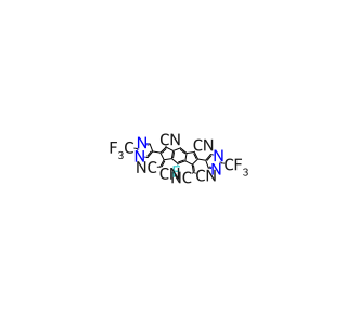 N#CC(C#N)=C1C(c2cnc(C(F)(F)F)nc2)=C(C#N)c2cc3c(c(F)c21)C(=C(C#N)C#N)C(c1cnc(C(F)(F)F)nc1)=C3C#N